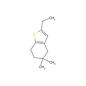 CCc1cc2c(s1)CCC(C)(C)C2